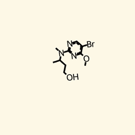 COc1nc(N(C)C(C)CCO)ncc1Br